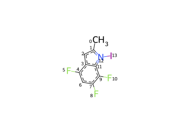 Cc1cc2c(F)cc(F)c(F)c2n1I